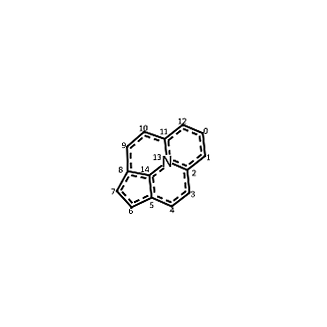 c1cc2ccc3ccc4ccc(c1)n2c34